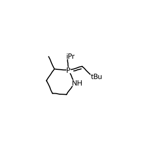 CC(C)P1(=CC(C)(C)C)NCCCC1C